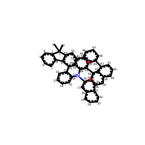 CC1(C)c2ccccc2-c2c(-c3ccccc3N(c3ccc4ccccc4c3)c3ccccc3-c3cccc4cccc(-c5ccccc5)c34)cccc21